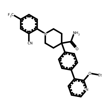 CCOc1ncccc1-c1ccc(C2(C(N)=O)CCN(c3ccc(C(F)(F)F)cc3C#N)CC2)cc1